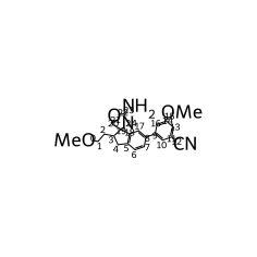 COCCC1Cc2ccc(-c3cc(C#N)cc(OC)c3)cc2C12COC(N)=N2